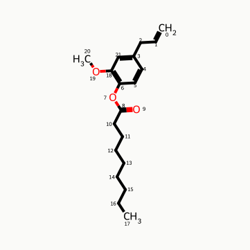 C=CCc1ccc(OC(=O)CCCCCCCC)c(OC)c1